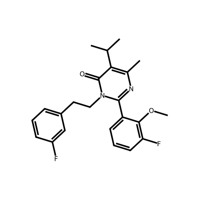 COc1c(F)cccc1-c1nc(C)c(C(C)C)c(=O)n1CCc1cccc(F)c1